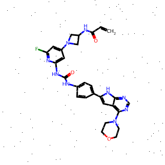 C=CC(=O)NC1CN(c2cc(F)nc(NC(=O)Nc3ccc(-c4cc5c(N6CCOCC6)ncnc5[nH]4)cc3)c2)C1